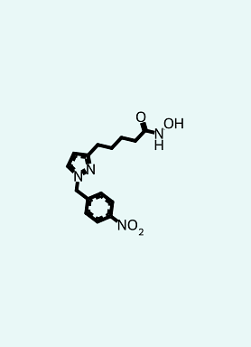 O=C(CCCCc1ccn(Cc2ccc([N+](=O)[O-])cc2)n1)NO